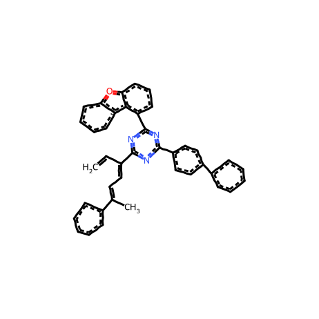 C=C/C(=C\C=C(/C)c1ccccc1)c1nc(-c2ccc(-c3ccccc3)cc2)nc(-c2cccc3oc4ccccc4c23)n1